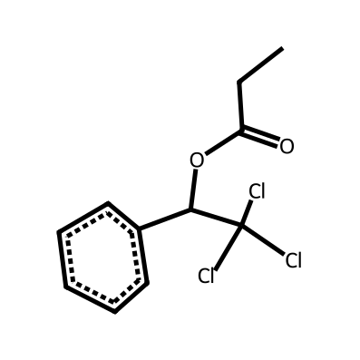 CCC(=O)OC(c1ccccc1)C(Cl)(Cl)Cl